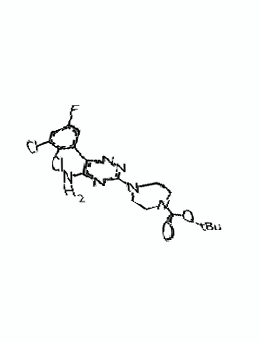 CC(C)(C)OC(=O)N1CCN(c2nnc(-c3cc(F)cc(Cl)c3Cl)c(N)n2)CC1